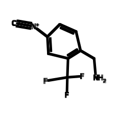 [C-]#[N+]c1ccc(CN)c(C(F)(F)F)c1